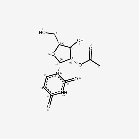 CC(=O)O[C@H]1C(O)[C@@H](CO)O[C@H]1n1ccc(=O)[nH]c1=O